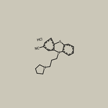 Cl.N#Cc1ccc2c(c1)N(CCCN1CCCC1)c1ccccc1S2